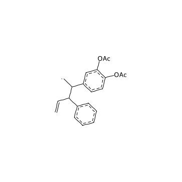 [CH2]C(c1ccc(OC(C)=O)c(OC(C)=O)c1)C(C=C)c1ccccc1